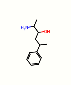 CC(CC(O)C(C)N)c1ccccc1